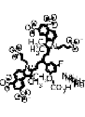 CC1(C)C(/C=C/C(=C/C=C2/N(CCCS(=O)(=O)[O-])c3ccc4c(S(=O)(=O)[O-])cc(S(=O)(=O)[O-])cc4c3C2(C)C)c2cc(F)cc(OCC(=O)O)c2)=[N+](CCCS(=O)(=O)[O-])c2ccc3c(S(=O)(=O)[O-])cc(S(=O)(=O)[O-])cc3c21.[Na+].[Na+].[Na+].[Na+].[Na+]